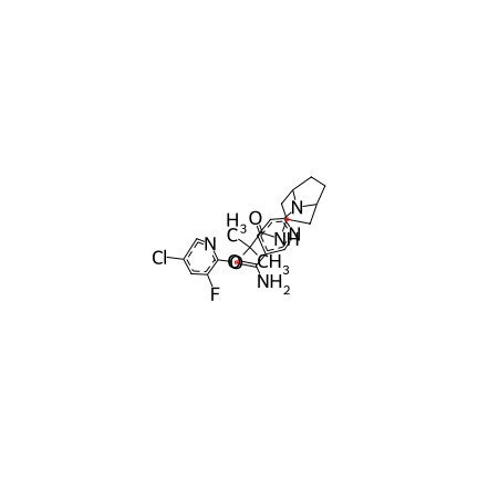 CC(C)(Oc1ncc(Cl)cc1F)C(=O)NC1CC2CCC(C1)N2c1ccc(C(N)=O)cn1